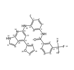 Cc1ccc(NC(=O)c2cccc(C(F)(F)F)c2)cc1Nc1cc(-c2ccco2)c2cc[nH]c2n1